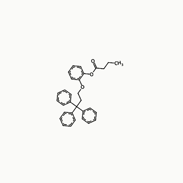 CCCC(=O)Oc1ccccc1OCCC(c1ccccc1)(c1ccccc1)c1ccccc1